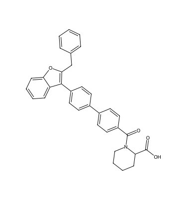 O=C(O)C1CCCCN1C(=O)c1ccc(-c2ccc(-c3c(Cc4ccccc4)oc4ccccc34)cc2)cc1